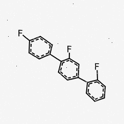 Fc1ccc(-c2ccc(-c3ccccc3F)cc2F)cc1